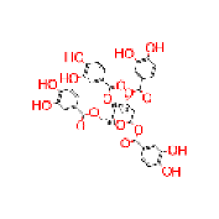 O=C(OC[C@H]1OC(OC(=O)c2ccc(O)c(O)c2)C[C@@H](OC(=O)c2ccc(O)c(O)c2)[C@H]1OC(=O)c1ccc(O)c(O)c1)c1ccc(O)c(O)c1